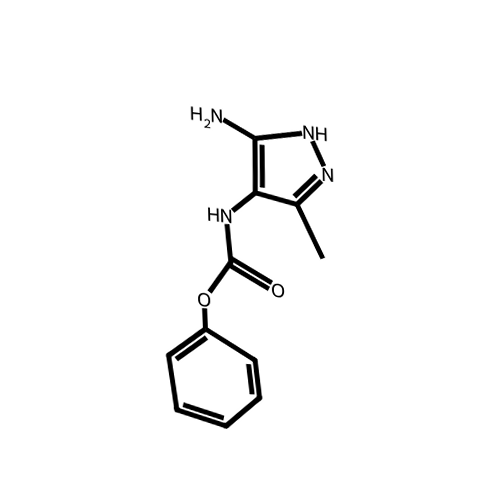 Cc1n[nH]c(N)c1NC(=O)Oc1ccccc1